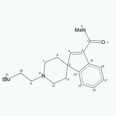 CNC(=O)C1=CC2(CCN(CCC(C)(C)C)CC2)c2ccccc21